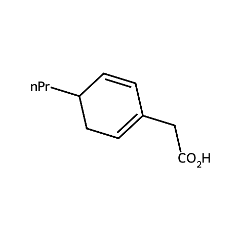 CCCC1C=CC(CC(=O)O)=CC1